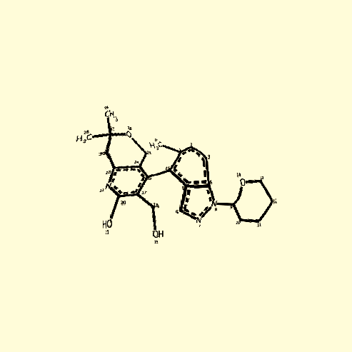 Cc1ccc2c(cnn2C2CCCCO2)c1-c1c(CO)c(O)nc2c1COC(C)(C)C2